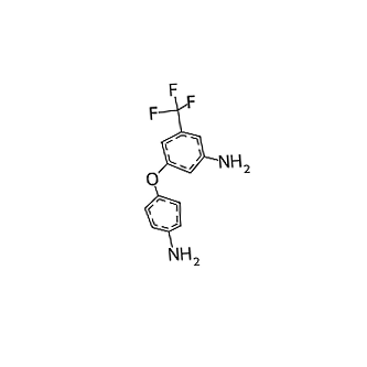 Nc1ccc(Oc2cc(N)cc(C(F)(F)F)c2)cc1